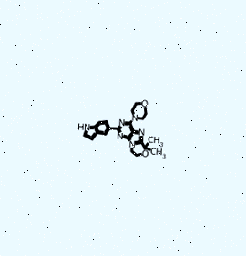 CC1(C)OCCn2c1nc1c(N3CCOCC3)nc(-c3ccc4[nH]ccc4c3)nc12